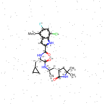 COc1c(F)cc(Cl)c2[nH]c(C(=O)N[C@@H](CC3CC3)C(=O)N[C@H](C#N)C[C@@H]3CC(C)(C)NC3=O)cc12